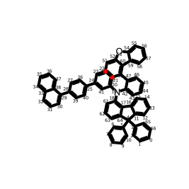 c1ccc(C2(c3ccccc3)c3ccccc3-c3c(N(c4cccc(-c5ccc(-c6cccc7ccccc67)cc5)c4)c4ccccc4-c4cccc5oc6ccccc6c45)cccc32)cc1